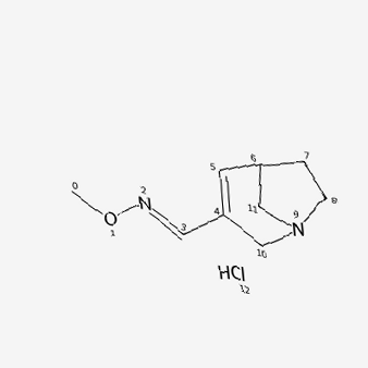 CON=CC1=CC2CCN(C1)C2.Cl